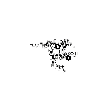 CC(C)OC(=O)c1cc(-n2c(=O)cc(C(F)(F)F)n(C)c2=O)ccc1Cl.C[S+](C)C.O=C(Nc1nc(OC(F)F)cc(OC(F)F)n1)NS(=O)(=O)c1ccccc1C(=O)O.O=C(O)CNCP(=O)([O-])O